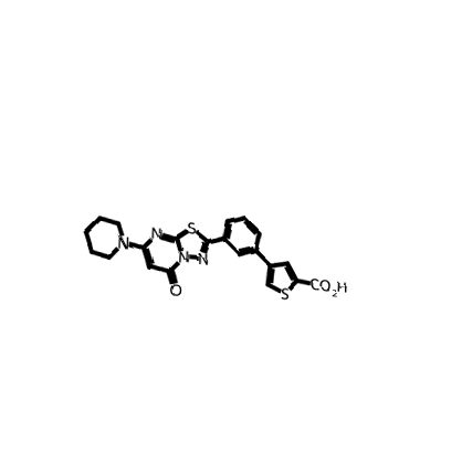 O=C(O)c1cc(-c2cccc(-c3nn4c(=O)cc(N5CCCCC5)nc4s3)c2)cs1